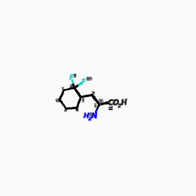 N[C@@H](CC1CCCCC1(F)F)C(=O)O